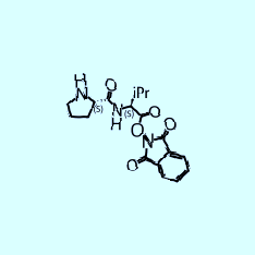 CC(C)[C@H](NC(=O)[C@@H]1CCCN1)C(=O)ON1C(=O)c2ccccc2C1=O